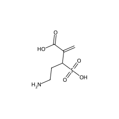 C=C(C(=O)O)C(CCN)S(=O)(=O)O